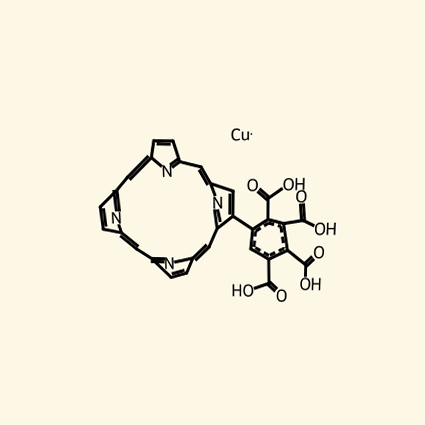 O=C(O)c1cc(C2=CC3=CC4=NC(=CC5=NC(=CC6=NC(=CC2=N3)C=C6)C=C5)C=C4)c(C(=O)O)c(C(=O)O)c1C(=O)O.[Cu]